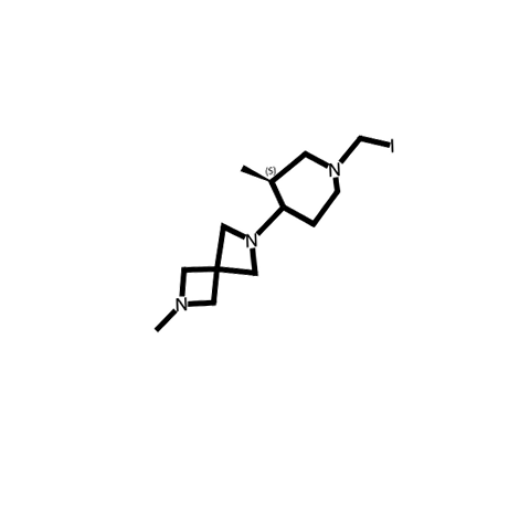 C[C@H]1CN(CI)CCC1N1CC2(CN(C)C2)C1